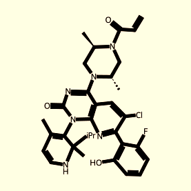 C=CC(=O)N1C[C@H](C)N(c2nc(=O)n(C3=C(C)C=CNC3(C)C(C)C)c3nc(-c4c(O)cccc4F)c(Cl)cc23)C[C@H]1C